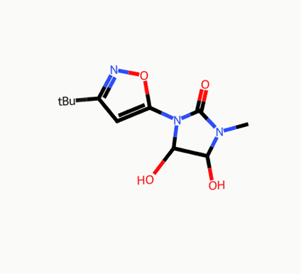 CN1C(=O)N(c2cc(C(C)(C)C)no2)C(O)C1O